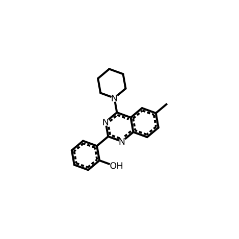 Cc1ccc2nc(-c3ccccc3O)nc(N3CCCCC3)c2c1